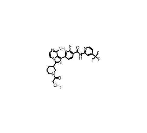 CCC(=O)N1CCCC(c2nc(-c3ccc(C(=O)Nc4cc(C(F)(F)F)ccn4)c(F)c3)c3c(N)nccn23)C1